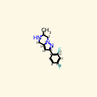 CC1Cn2nc(-c3ccc(F)cc3F)cc2CN1